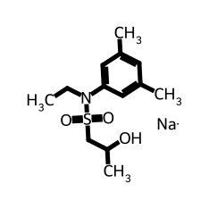 CCN(c1cc(C)cc(C)c1)S(=O)(=O)CC(C)O.[Na]